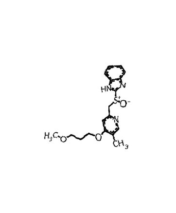 COCCCOc1cc(C[S+]([O-])c2nc3ccccc3[nH]2)ncc1C